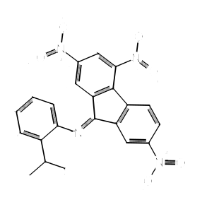 CC(C)c1ccccc1N=C1c2cc([N+](=O)[O-])ccc2-c2c1cc([N+](=O)[O-])cc2[N+](=O)[O-]